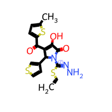 C=CS/C(=N\N)N1C(=O)C(O)=C(C(=O)c2ccc(C)s2)C1c1ccsc1